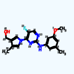 COc1cc(C)cc(Nc2ncc(F)c(-n3cc(C)c(CO)c3)n2)c1